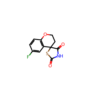 O=C1NC(=O)C2(CCOc3ccc(F)cc32)S1